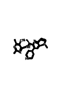 Cc1nc(C)c(C#N)c(N[C@@H](C)c2nc3ccn(C)c3cc2C2CCNCC2)n1